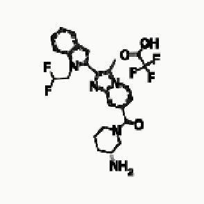 Cc1c(-c2cc3ccccc3n2CC(F)F)nc2cc(C(=O)N3CCC[C@@H](N)C3)ccn12.O=C(O)C(F)(F)F